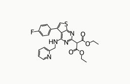 CCOC(=O)C(C(=O)OCC)c1nc(NCc2ccccn2)c2c(-c3ccc(F)cc3)csc2n1